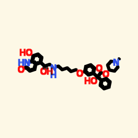 CN1CCC(OC(=O)[C@](O)(c2ccccc2)c2cccc(OCCCCCNC[C@H](O)c3ccc(O)c4[nH]c(=O)ccc34)c2)CC1